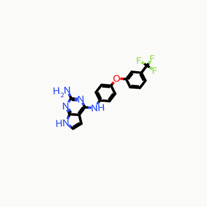 Nc1nc(Nc2ccc(Oc3cccc(C(F)(F)F)c3)cc2)c2cc[nH]c2n1